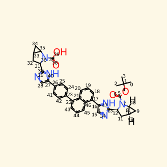 CC(C)(C)OC(=O)N1[C@@H]2C[C@H]2C[C@H]1c1ncc(-c2cccc3c(-c4ccc(-c5cnc(C6CC7CC7N6C(=O)O)[nH]5)cc4)cccc23)[nH]1